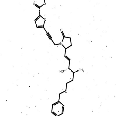 COC(=O)c1ccc(C#CCN2C(=O)CCC2C=C[C@@H](O)[C@@H](C)CCCCc2ccccc2)s1